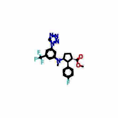 COC(=O)[C@H]1CC[C@H](N(C)c2cc(-n3cnnn3)cc(C(F)(F)F)c2)[C@@H]1c1ccc(F)cc1